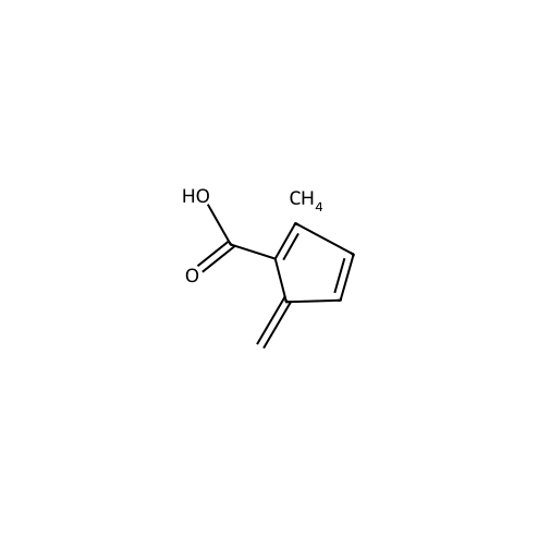 C.C=C1C=CC=C1C(=O)O